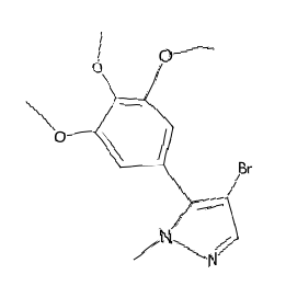 COc1cc(-c2c(Br)cnn2C)cc(OC)c1OC